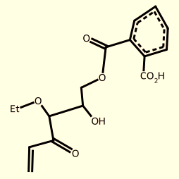 C=CC(=O)C(OCC)C(O)COC(=O)c1ccccc1C(=O)O